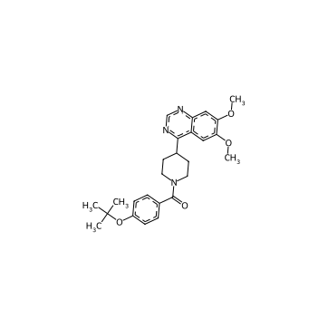 COc1cc2ncnc(C3CCN(C(=O)c4ccc(OC(C)(C)C)cc4)CC3)c2cc1OC